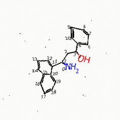 NC(CC(O)c1ccccc1)c1cccc2ccccc12